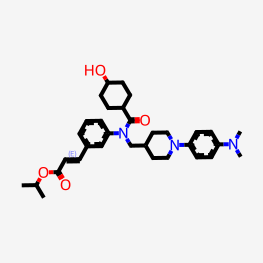 CC(C)OC(=O)/C=C/c1cccc(N(CC2CCN(c3ccc(N(C)C)cc3)CC2)C(=O)C2CCC(O)CC2)c1